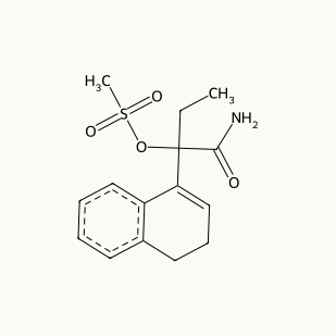 CCC(OS(C)(=O)=O)(C(N)=O)C1=CCCc2ccccc21